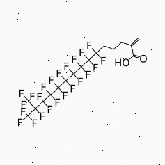 C=C(CCCC(F)(F)C(F)(F)C(F)(F)C(F)(F)C(F)(F)C(F)(F)C(F)(F)C(F)(F)C(F)(C(F)(F)F)C(F)(F)F)C(=O)O